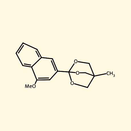 COc1cc(C23OCC(C)(CO2)CO3)cc2ccccc12